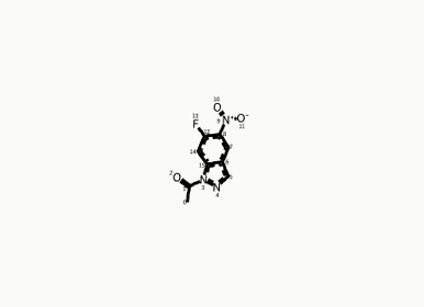 CC(=O)n1ncc2cc([N+](=O)[O-])c(F)cc21